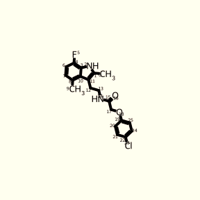 Cc1[nH]c2c(F)ccc(C)c2c1CCNC(=O)COc1ccc(Cl)cc1